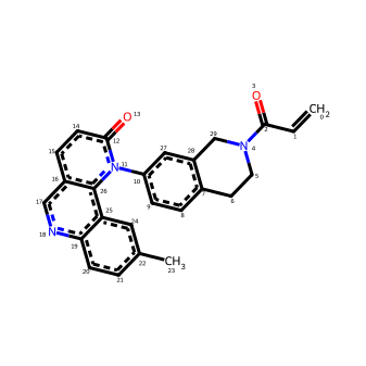 C=CC(=O)N1CCc2ccc(-n3c(=O)ccc4cnc5ccc(C)cc5c43)cc2C1